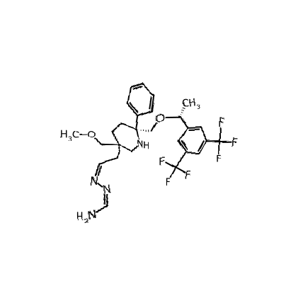 COC[C@@]1(C/C=N\N=C/N)CC[C@@](CO[C@H](C)c2cc(C(F)(F)F)cc(C(F)(F)F)c2)(c2ccccc2)NC1